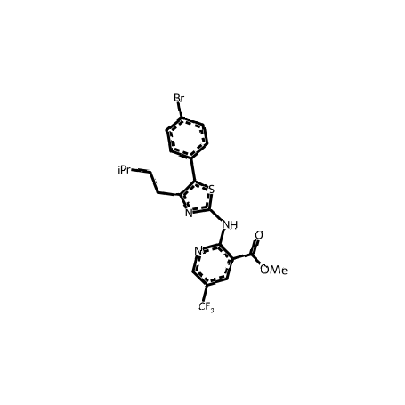 COC(=O)c1cc(C(F)(F)F)cnc1Nc1nc(CCC(C)C)c(-c2ccc(Br)cc2)s1